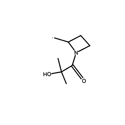 [CH2]C1CCN1C(=O)C(C)(C)O